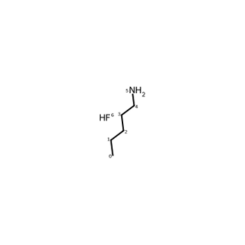 CCCCCN.F